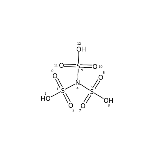 O=S(=O)(O)N(S(=O)(=O)O)S(=O)(=O)O